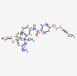 CC#CCCOc1cnc(C(=O)Nc2ccc(F)c([C@@]3(C)N=C(N)S[C@@]4(COC)C[C@H]43)c2)cn1